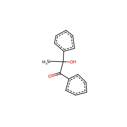 O=C(c1ccccc1)C(O)([SiH3])c1ccccc1